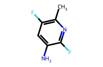 Cc1nc(F)c(N)cc1F